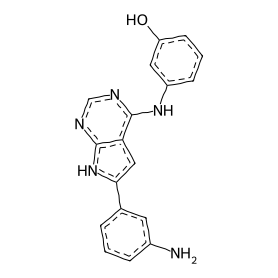 Nc1cccc(-c2cc3c(Nc4cccc(O)c4)ncnc3[nH]2)c1